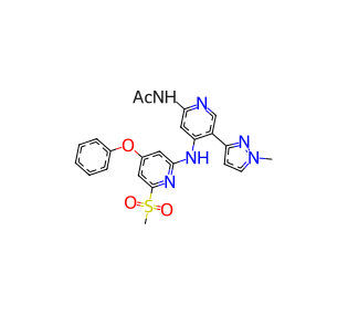 CC(=O)Nc1cc(Nc2cc(Oc3ccccc3)cc(S(C)(=O)=O)n2)c(-c2ccn(C)n2)cn1